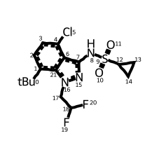 CC(C)(C)c1ccc(Cl)c2c(NS(=O)(=O)C3CC3)nn(CC(F)F)c12